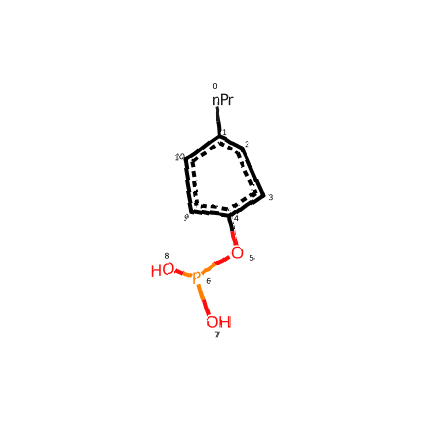 CCCc1ccc(OP(O)O)cc1